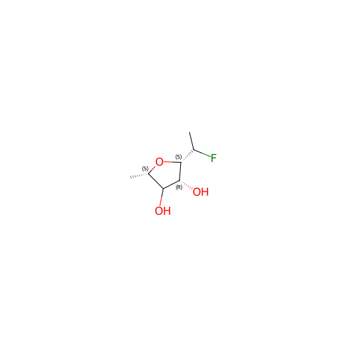 CC(F)[C@H]1O[C@@H](C)C(O)[C@H]1O